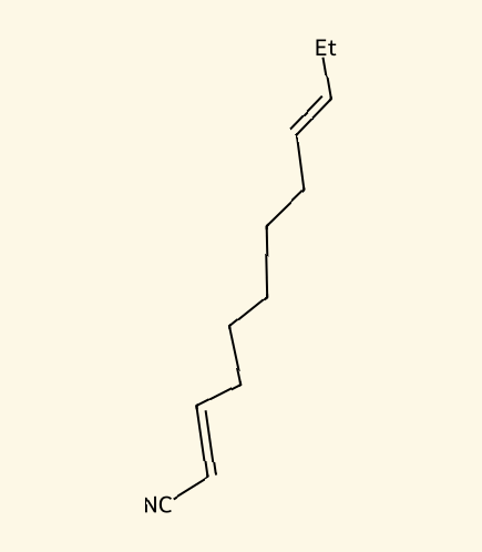 CCC=CCCCCCC=CC#N